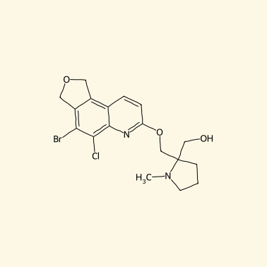 CN1CCCC1(CO)COc1ccc2c3c(c(Br)c(Cl)c2n1)COC3